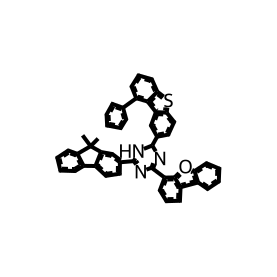 CC1(C)c2ccccc2-c2ccc(C3=NC(c4cccc5c4oc4ccccc45)=NC(c4ccc5sc6cccc(-c7ccccc7)c6c5c4)N3)cc21